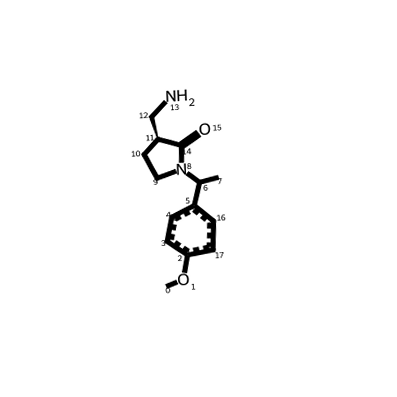 COc1ccc(C(C)N2CC[C@@H](CN)C2=O)cc1